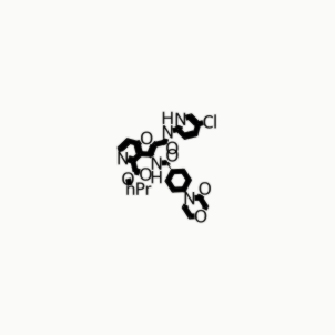 CCCOC(=O)c1nccc2oc(C(=O)Nc3ccc(Cl)cn3)c(NC(=O)[C@H]3CC[C@H](N4CCOCC4=O)CC3)c12